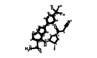 C[C@H]1CN(C(=O)CC#N)C[C@H]1Nc1c(C(N)=O)cnn2cc(-c3ccc(C(F)(F)F)nc3)cc12